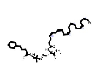 CC/C=C\C/C=C\C/C=C\C/C=C\C/C=C\C/C=C\CCC(=O)N[C@@H](CSSC(C)(C)CNC(=O)CCCc1ccccc1)C(N)=O